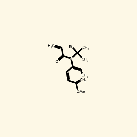 C=CC(=O)N(C(/C=C\C(=C)OC)=C/C)C(C)(C)CC